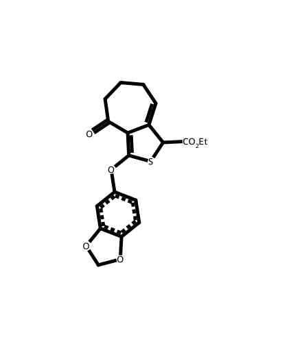 CCOC(=O)C1SC(Oc2ccc3c(c2)OCO3)=C2C(=O)CCCC=C21